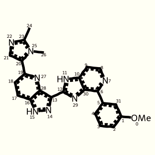 COc1cccc(-c2nccc3[nH]c(-c4n[nH]c5ccc(-c6cnc(C)n6C)nc45)nc23)c1